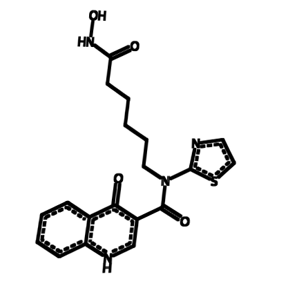 O=C(CCCCCN(C(=O)c1c[nH]c2ccccc2c1=O)c1nccs1)NO